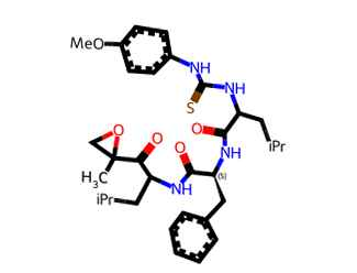 COc1ccc(NC(=S)NC(CC(C)C)C(=O)N[C@@H](Cc2ccccc2)C(=O)NC(CC(C)C)C(=O)C2(C)CO2)cc1